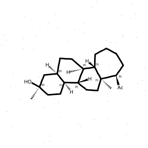 CC(=O)[C@@H]1CCCC[C@H]2[C@@H]3CC[C@@H]4C[C@](C)(O)CC[C@@H]4[C@H]3CC[C@]12C